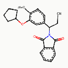 COc1ccc(C(CC#N)N2C(=O)c3ccccc3C2=O)cc1OC1CCCC1